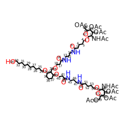 CC(=O)NC1C(OCCCCC(=O)NCCCNC(=O)CCOCC2C(OCCCCCCCCCCO)CCCC2OCCC(=O)NCCCNC(=O)CCCCOC2OC(COC(C)=O)C(OC(C)=O)C(OC(C)=O)C2NC(C)=O)OC(COC(C)=O)C(OC(C)=O)C1OC(C)=O